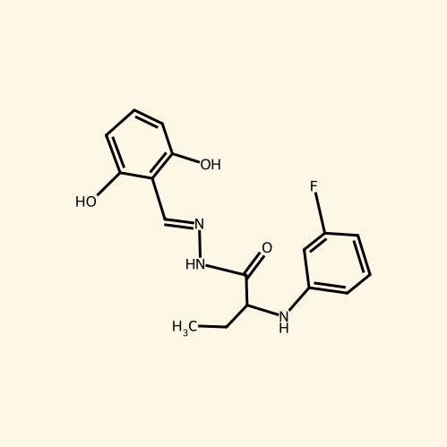 CCC(Nc1cccc(F)c1)C(=O)NN=Cc1c(O)cccc1O